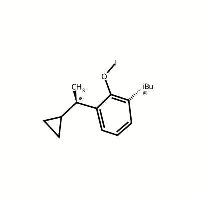 CC[C@@H](C)c1cccc([C@H](C)C2CC2)c1OI